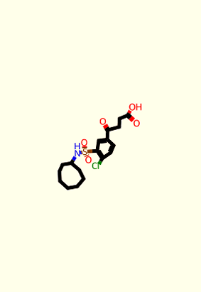 O=C(O)CCC(=O)c1ccc(Cl)c(S(=O)(=O)NC2CCCCCCC2)c1